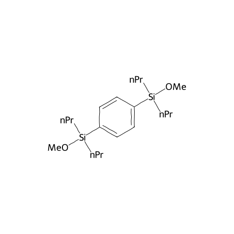 CCC[Si](CCC)(OC)c1ccc([Si](CCC)(CCC)OC)cc1